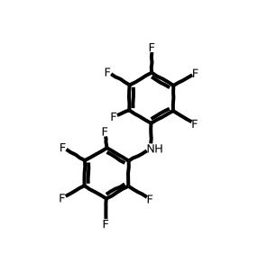 Fc1c(F)c(F)c(Nc2c(F)c(F)c(F)c(F)c2F)c(F)c1F